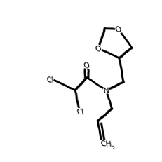 C=CCN(CC1COCO1)C(=O)C(Cl)Cl